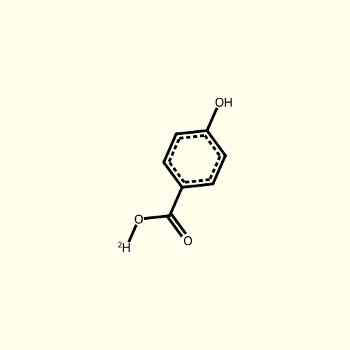 [2H]OC(=O)c1ccc(O)cc1